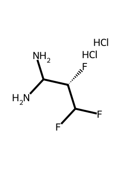 Cl.Cl.NC(N)[C@H](F)C(F)F